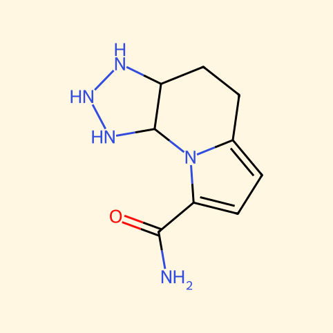 NC(=O)c1ccc2n1C1NNNC1CC2